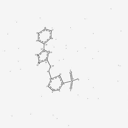 CS(=O)(=O)c1cccc(CSc2nnc(-c3ccccc3)o2)c1